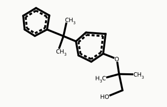 CC(C)(CO)Oc1ccc(C(C)(C)c2ccccc2)cc1